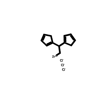 [Cl-].[Cl-].[Cl-].[Zr+3][CH2]C(C1=CC=CC1)C1=CC=CC1